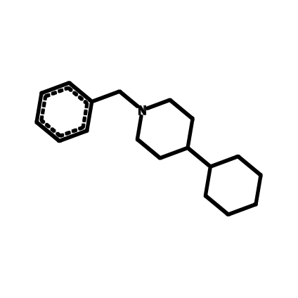 c1ccc(CN2CCC(C3CCCCC3)CC2)cc1